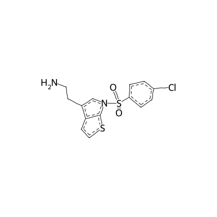 NCCc1cn(S(=O)(=O)c2ccc(Cl)cc2)c2sccc12